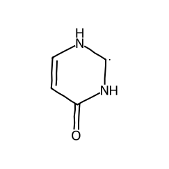 O=C1C=CN[CH]N1